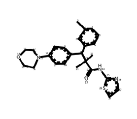 Cc1cccc(C(c2ccc(N3CCOCC3)cc2)C(C)(C)C(=O)Nc2nccs2)c1